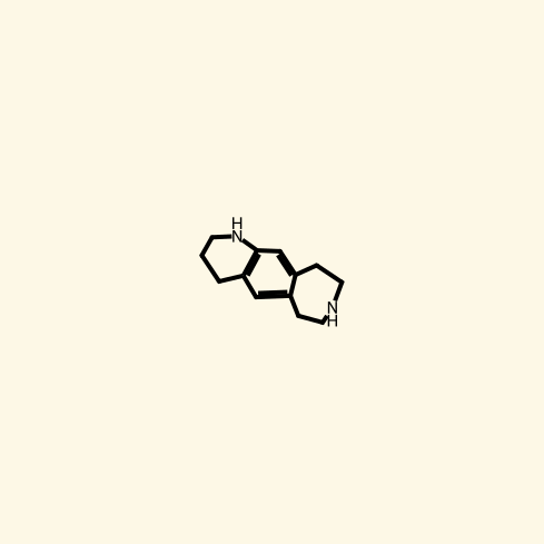 c1c2c(cc3c1CCCN3)CCNCC2